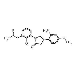 COc1ccc([C@H]2CC(=O)N(c3cccn(CC(C)F)c3=O)C2)c(P)c1